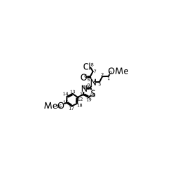 COCCCN(C(=O)CCl)c1nc(-c2ccc(OC)cc2)cs1